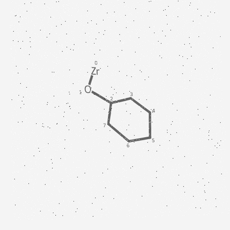 [Zr][O]C1CCCCC1